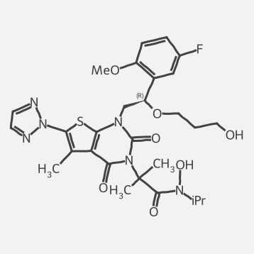 COc1ccc(F)cc1[C@H](Cn1c(=O)n(C(C)(C)C(=O)N(O)C(C)C)c(=O)c2c(C)c(-n3nccn3)sc21)OCCCO